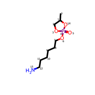 CC1COP(=O)(OCCCCCCN)O1